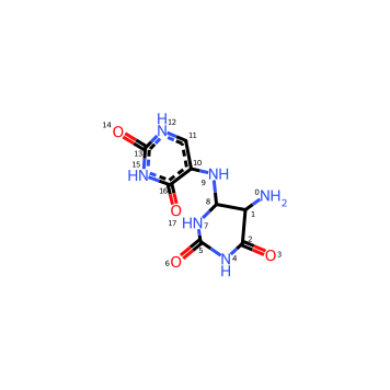 NC1C(=O)NC(=O)NC1Nc1c[nH]c(=O)[nH]c1=O